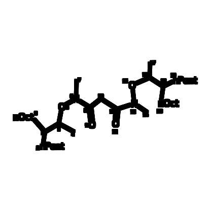 CCCCCCCCC(CCCCC)C(C)ON(C)C(=O)CC(=O)N(C)OC(C)C(CCCCC)CCCCCCCC